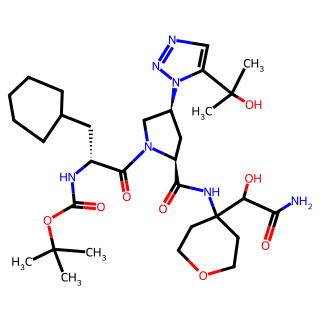 CC(C)(C)OC(=O)N[C@H](CC1CCCCC1)C(=O)N1C[C@@H](n2nncc2C(C)(C)O)C[C@H]1C(=O)NC1(C(O)C(N)=O)CCOCC1